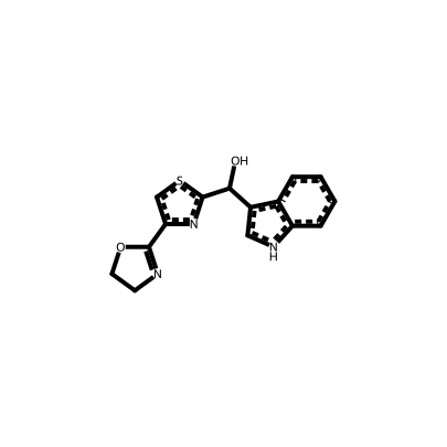 OC(c1nc(C2=NCCO2)cs1)c1c[nH]c2ccccc12